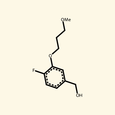 COCCCOc1cc(CO)ccc1F